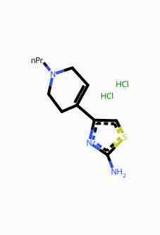 CCCN1CC=C(c2csc(N)n2)CC1.Cl.Cl